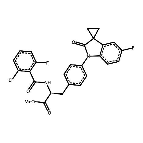 COC(=O)[C@H](Cc1ccc(N2C(=O)C3(CC3)c3cc(F)ccc32)cc1)NC(=O)c1c(F)cccc1Cl